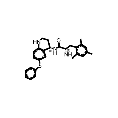 Cc1cc(C)c(C[C@H](N)C(=O)N[C@@H]2CCNc3ccc(Sc4ccccc4)cc32)c(C)c1